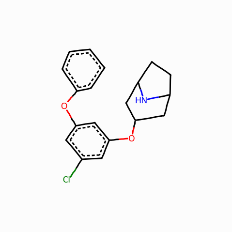 Clc1cc(Oc2ccccc2)cc(OC2CC3CCC(C2)N3)c1